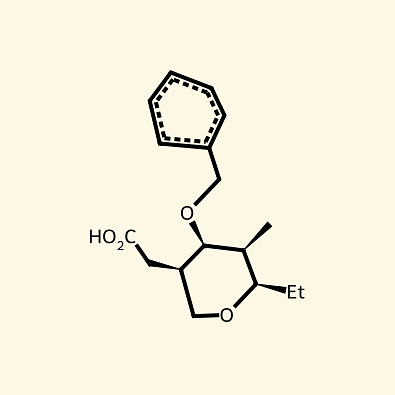 CC[C@H]1OC[C@@H](CC(=O)O)[C@@H](OCc2ccccc2)[C@H]1C